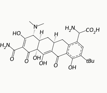 CN(C)[C@H]1C(O)=C(C(N)=O)C(=O)[C@]2(O)C(O)=C3C(=O)c4c(O)c(C(C)(C)C)cc(C(N)C(=O)O)c4C[C@@H]3C[C@H]12